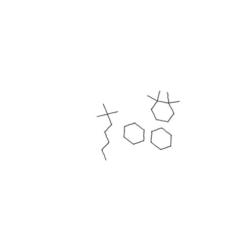 C1CCCCC1.C1CCCCC1.CC1(C)CCCCC1(C)C.CCCCCC(C)(C)C